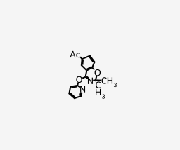 CC(=O)c1ccc2c(c1)C(Oc1ccccn1)=NC(C)(C)O2